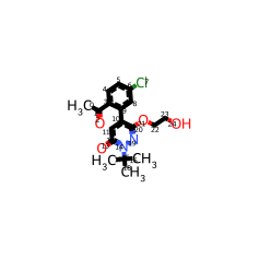 CC(=O)c1ccc(Cl)cc1-c1cc(=O)n(C(C)(C)C)nc1OCCO